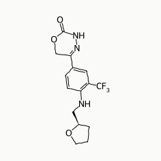 O=C1NN=C(c2ccc(NC[C@H]3CCCO3)c(C(F)(F)F)c2)CO1